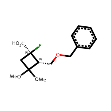 COC1(OC)C[C@](F)(C(=O)O)[C@@H]1COCc1ccccc1